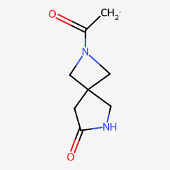 [CH2]C(=O)N1CC2(CNC(=O)C2)C1